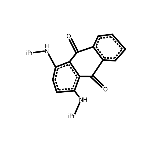 CC(C)Nc1ccc(NC(C)C)c2c1C(=O)c1ccccc1C2=O